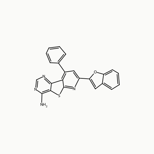 Nc1ncnc2c1sc1nc(-c3cc4ccccc4o3)cc(-c3ccccc3)c12